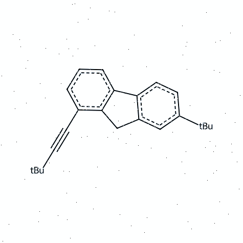 CC(C)(C)C#Cc1cccc2c1Cc1cc(C(C)(C)C)ccc1-2